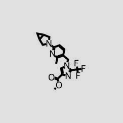 COC(=O)c1cn(Cc2ccc(N3CC4CC4C3)nc2C)c(C(F)(F)F)n1